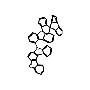 c1ccc2c(c1)B1c3cccc(-n4c5ccccc5c5c6c(ccc54)oc4ccccc46)c3-c3cccc(c31)C21c2ccccc2-c2ccccc21